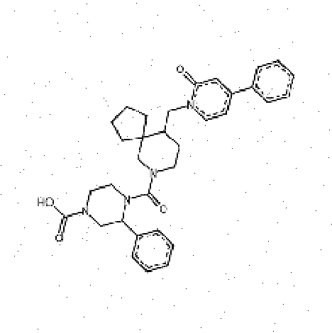 O=C(O)N1CCN(C(=O)N2CCC(Cn3ccc(-c4ccccc4)cc3=O)C3(CCCC3)C2)C(c2ccccc2)C1